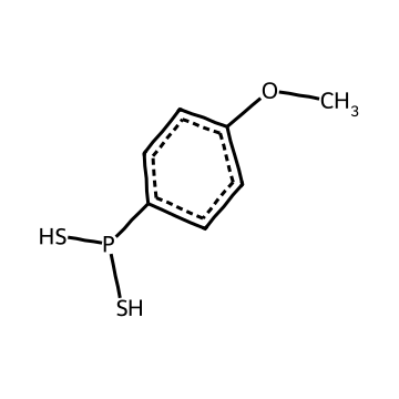 COc1ccc(P(S)S)cc1